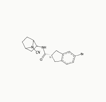 N#CN1C2CCC1C(NC(=O)[C@H]1Cc3ccc(Br)cc3C1)C2